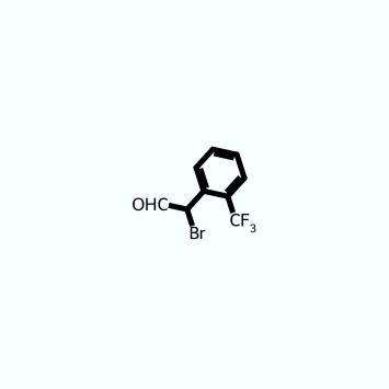 O=CC(Br)c1ccccc1C(F)(F)F